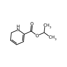 CC(C)OC(=O)C1=CC=CCN1